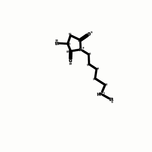 CCNCCCCCN1C(=O)CC(CC)C1=O